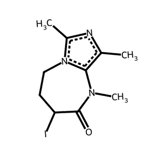 Cc1nc(C)n2c1N(C)C(=O)C(I)CC2